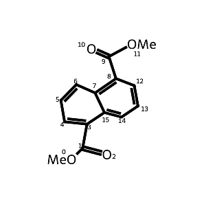 COC(=O)c1cccc2c(C(=O)OC)cccc12